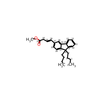 CCCCC1(CCCC)c2ccccc2-c2cc(/C=C/CC(=O)OC)ccc21